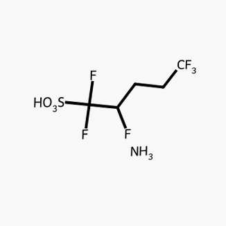 N.O=S(=O)(O)C(F)(F)C(F)CCC(F)(F)F